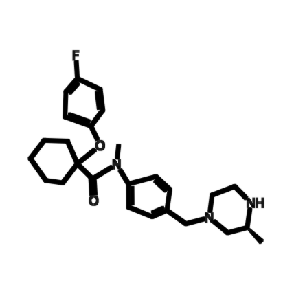 C[C@H]1CN(Cc2ccc(N(C)C(=O)C3(Oc4ccc(F)cc4)CCCCC3)cc2)CCN1